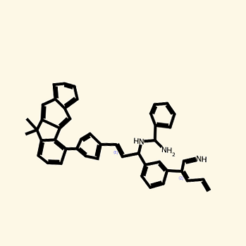 C=C/C=C(\C=N)c1cccc(C(/C=C/c2ccc(-c3cccc4c3-c3cc5ccccc5cc3C4(C)C)cc2)NC(N)c2ccccc2)c1